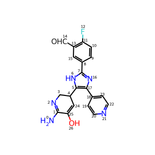 NC1=NCC(c2[nH]c(-c3ccc(F)c(C=O)c3)nc2-c2ccncc2)C=C1O